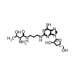 CC(O)C(N)C(=O)NCCCNc1nc(S)c2ncn([C@@H]3O[C@H](CO)CC3O)c2n1